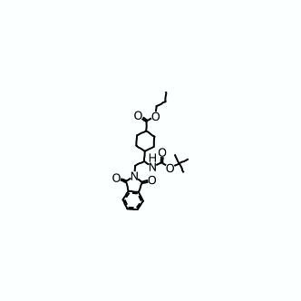 CCCOC(=O)C1CCC(C(CN2C(=O)c3ccccc3C2=O)NC(=O)OC(C)(C)C)CC1